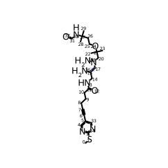 CSc1ncc(C#CCCCC(=O)NC/C(N)=C/N(N)CC(C)(C)OCCC(C)(C)NC=O)cn1